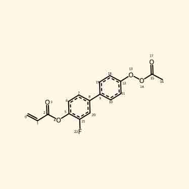 C=CC(=O)Oc1ccc(-c2ccc(OOC(C)=O)cc2)cc1F